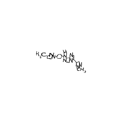 Cc1ccn(-c2ccc(Nc3nccn4c(-c5cnn(C)c5)cnc34)cc2)n1